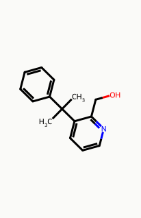 CC(C)(c1ccccc1)c1cccnc1CO